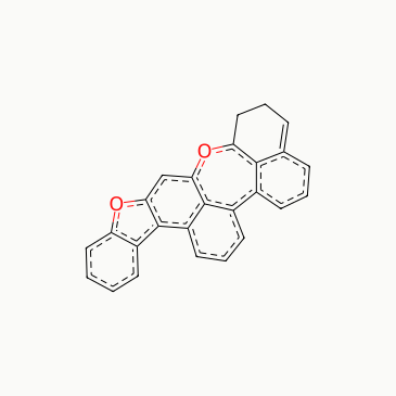 C1=c2cccc3c2c(oc2cc4oc5ccccc5c4c4cccc3c24)CC1